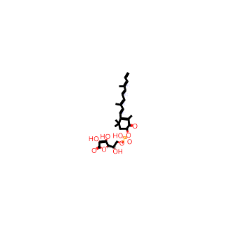 C=C/C=C(C)/C=C/C=C(C)/C=C/C1=C(C)C(=O)C(OP(=O)(O)OC[C@H](O)[C@H]2OC(=O)C(O)=C2O)CC1(C)C